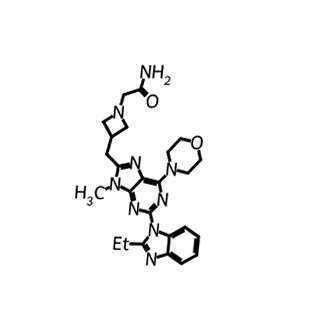 CCc1nc2ccccc2n1-c1nc(N2CCOCC2)c2nc(CC3CN(CC(N)=O)C3)n(C)c2n1